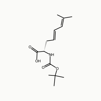 CC(C)=CC=CC[C@H](NC(=O)OC(C)(C)C)C(=O)O